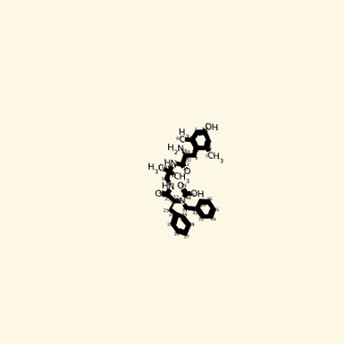 Cc1cc(O)cc(C)c1C[C@H](N)C(=O)NC(C)(C)CNC(=O)[C@H](Cc1ccccc1)N(Cc1ccccc1)C(=O)O